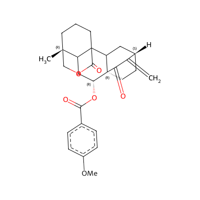 C=C1C(=O)[C@]23CC[C@H]1CC2C12CCC[C@@](C)(COC1=O)C2C[C@H]3OC(=O)c1ccc(OC)cc1